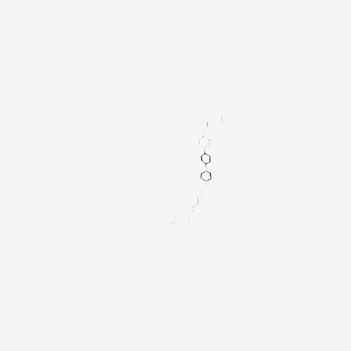 CCCCCCCCCCc1ccc(-c2ccc(C3CCC(CCCC)CC3)cc2)cc1